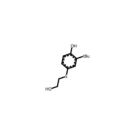 CC(C)(C)c1cc(SCCO)ccc1O